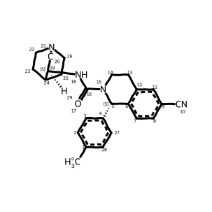 Cc1ccc([C@H]2c3ccc(C#N)cc3CCN2C(=O)N[C@@H]2CN3CCC2CC3)cc1